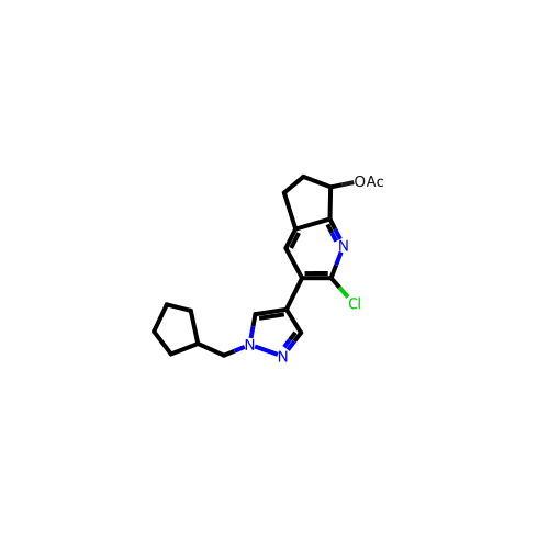 CC(=O)OC1CCc2cc(-c3cnn(CC4CCCC4)c3)c(Cl)nc21